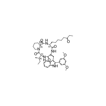 CCC(=O)CCCCC[C@@H]1NC(=O)[C@H]2CCCCN2C(=O)[C@H]([C@H](C)CC)NC(=O)[C@H](Cc2c(-c3cc(OC)cc(OC)c3)[nH]c3ccccc23)NC1=O